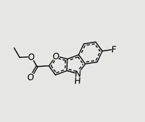 CCOC(=O)c1cc2[nH]c3cc(F)ccc3c2o1